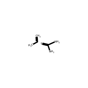 C=CC.NC(N)=S